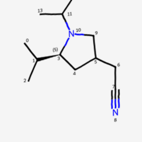 CC(C)[C@@H]1CC(CC#N)CN1C(C)C